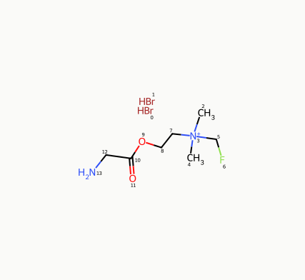 Br.Br.C[N+](C)(CF)CCOC(=O)CN